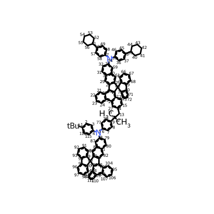 CC(C)(C)c1ccc(N(c2ccc(C(C)(C)Cc3ccc4c5c(c6ccccc6c4c3)-c3cc4ccc(N(c6ccc(C7CCCCC7)cc6)c6ccc(C7CCCCC7)cc6)cc4cc3C53c4ccccc4-c4ccccc43)cc2)c2ccc3cc4c(cc3c2)C2(c3ccccc3-c3ccccc32)c2c-4c3ccccc3c3ccccc23)cc1